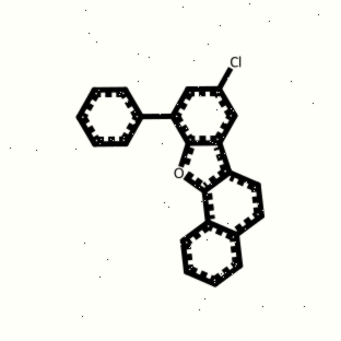 Clc1cc(-c2ccccc2)c2oc3c4ccccc4ccc3c2c1